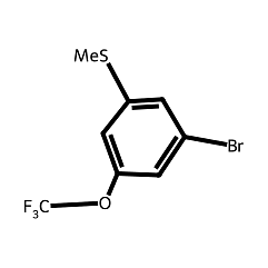 CSc1cc(Br)cc(OC(F)(F)F)c1